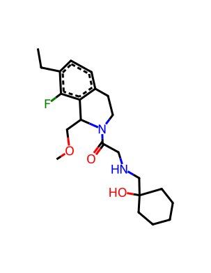 CCc1ccc2c(c1F)C(COC)N(C(=O)CNCC1(O)CCCCC1)CC2